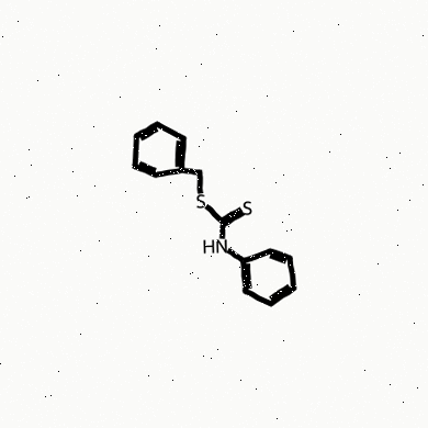 S=C(Nc1ccccc1)SCc1ccccc1